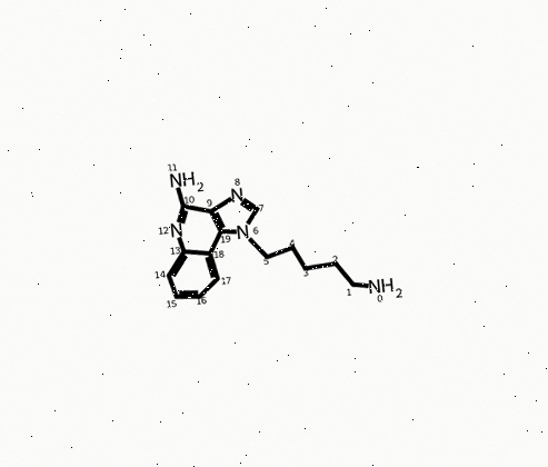 NCCCCCn1cnc2c(N)nc3ccccc3c21